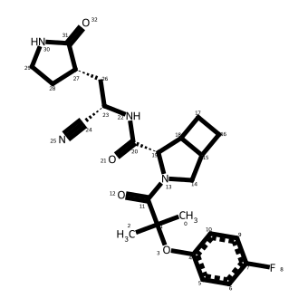 CC(C)(Oc1ccc(F)cc1)C(=O)N1CC2CCC2[C@H]1C(=O)N[C@H](C#N)C[C@@H]1CCNC1=O